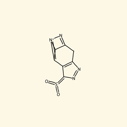 O=S(=O)=C1N=NC2=C1C1=[N+]3N=C(C2)C13